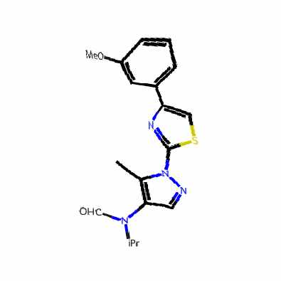 COc1cccc(-c2csc(-n3ncc(N(C=O)C(C)C)c3C)n2)c1